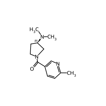 Cc1ccc(C(=O)N2CC[C@@H](N(C)C)C2)cn1